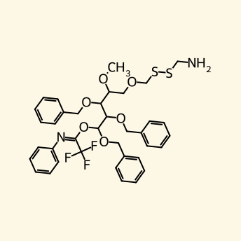 COC(COCSSCN)C(OCc1ccccc1)C(OCc1ccccc1)C(OCc1ccccc1)OC(=Nc1ccccc1)C(F)(F)F